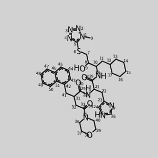 Cn1nnnc1SCC(O)C(CC1CCCCC1)NC(=O)C(Cc1c[nH]cn1)NC(=O)C(CC(=O)N1CCOCC1)Cc1cccc2ccccc12